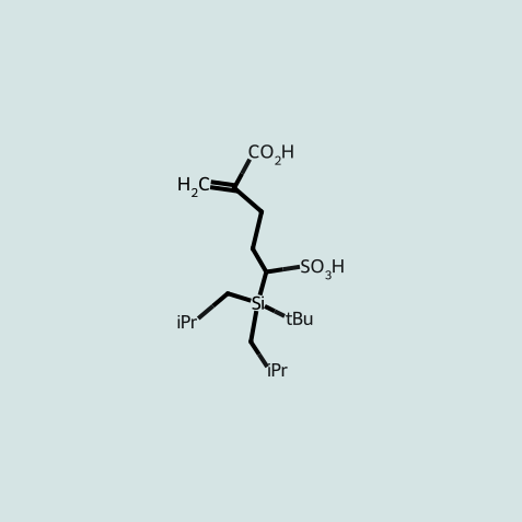 C=C(CCC([Si](CC(C)C)(CC(C)C)C(C)(C)C)S(=O)(=O)O)C(=O)O